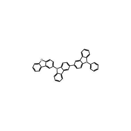 c1ccc(-n2c3ccccc3c3cc(-c4ccc5c(c4)c4ccccc4n5-c4ccc5oc6ccccc6c5c4)ccc32)cc1